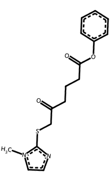 Cn1ccnc1SCC(=O)CCCC(=O)Oc1ccccc1